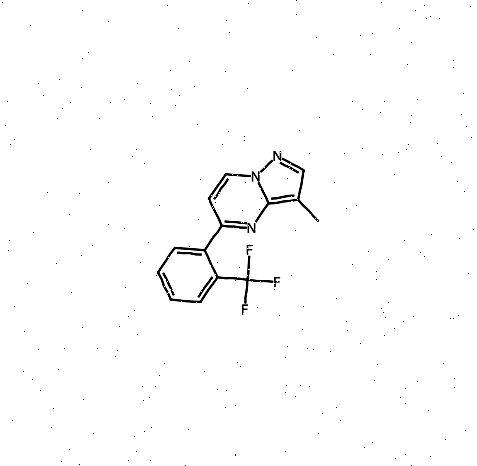 Cc1cnn2ccc(-c3ccccc3C(F)(F)F)nc12